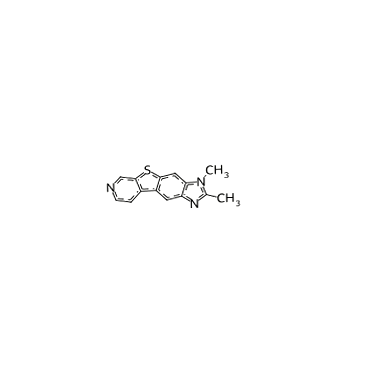 Cc1nc2cc3c(cc2n1C)sc1cnccc13